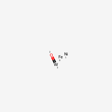 [Fe].[Ni].[O]=[W]